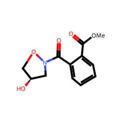 COC(=O)c1ccccc1C(=O)N1C[C@@H](O)CO1